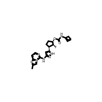 Cc1cn2c(Nc3cc([C@H]4CC[C@@H](OC(=O)NC56CC(C5)C6)[C@H]4F)[nH]n3)nccc2n1